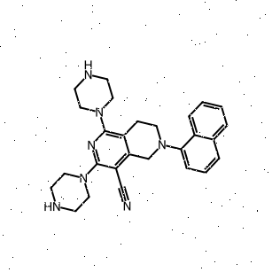 N#Cc1c(N2CCNCC2)nc(N2CCNCC2)c2c1CN(c1cccc3ccccc13)CC2